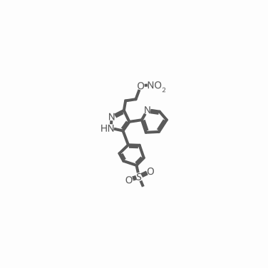 CS(=O)(=O)c1ccc(-c2[nH]nc(CCO[N+](=O)[O-])c2-c2ccccn2)cc1